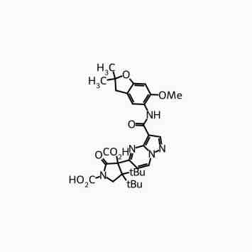 COc1cc2c(cc1NC(=O)c1cnn3ccc(C4(C(=O)O)C(=O)N(C(=O)O)CC4(C(C)(C)C)C(C)(C)C)nc13)CC(C)(C)O2